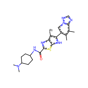 Cc1c(-c2[nH]c3sc(C(=O)NC4CCC(N(C)C)CC4)nc3c2C(C)C)cn2ncnc2c1C